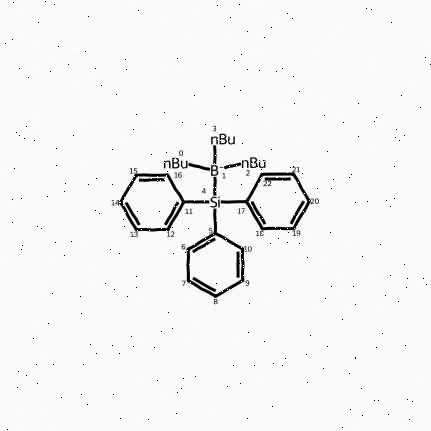 CCCC[B-](CCCC)(CCCC)[Si](c1ccccc1)(c1ccccc1)c1ccccc1